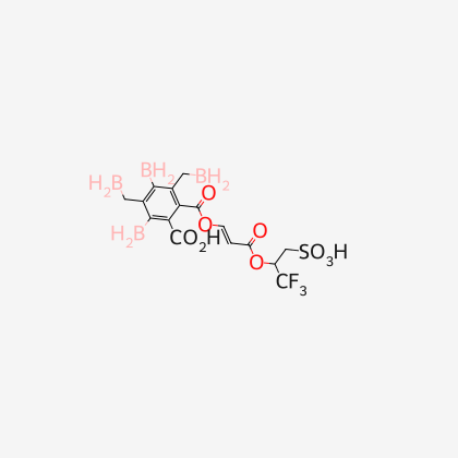 BCc1c(B)c(CB)c(C(=O)O/C=C/C(=O)OC(CS(=O)(=O)O)C(F)(F)F)c(C(=O)O)c1B